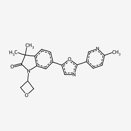 Cc1ccc(-c2ncc(-c3ccc4c(c3)N(C3COC3)C(=O)C4(C)C)o2)cn1